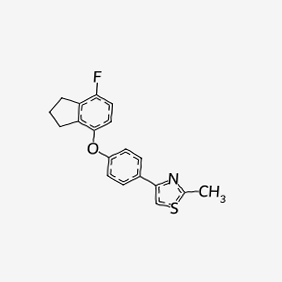 Cc1nc(-c2ccc(Oc3ccc(F)c4c3CCC4)cc2)cs1